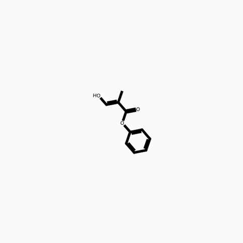 CC(=CO)C(=O)Oc1ccccc1